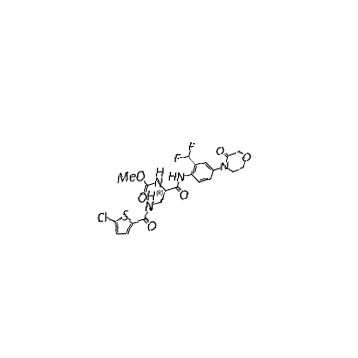 COC(=O)N[C@H](CNC(=O)c1ccc(Cl)s1)C(=O)Nc1ccc(N2CCOCC2=O)cc1C(F)F